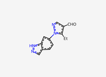 CCc1c(C=O)cnn1-c1ccc2cn[nH]c2c1